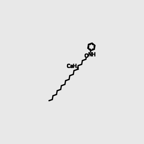 CCCCCCCCCCCCCCCCCCONc1ccccc1.[CaH2]